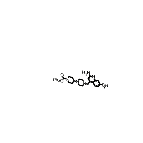 CBc1ccc2c(CN3CCN(C4CCN(C(=O)OC(C)(C)C)CC4)CC3)cc(N)nc2c1